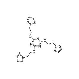 c1csc(CCOc2nc(OCCc3cccs3)nc(OCCc3cccs3)n2)c1